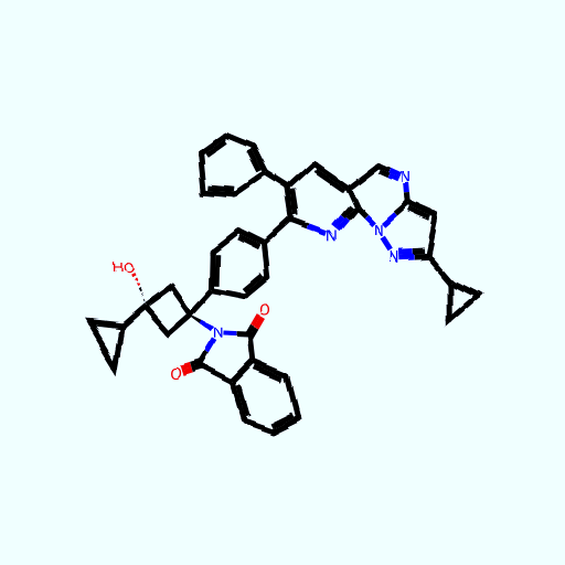 O=C1c2ccccc2C(=O)N1[C@]1(c2ccc(-c3nc4c(cnc5cc(C6CC6)nn54)cc3-c3ccccc3)cc2)C[C@](O)(C2CC2)C1